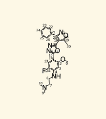 COc1cc(NCCN(C)C)c(F)cc1-c1nnc(-c2c(-c3ccccc3)noc2C)o1